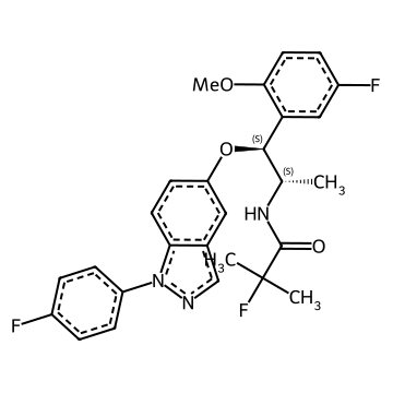 COc1ccc(F)cc1[C@H](Oc1ccc2c(cnn2-c2ccc(F)cc2)c1)[C@H](C)NC(=O)C(C)(C)F